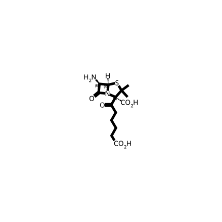 CC1(C)S[C@@H]2[C@H](N)C(=O)N2[C@]1(C(=O)O)C(=O)CCCCC(=O)O